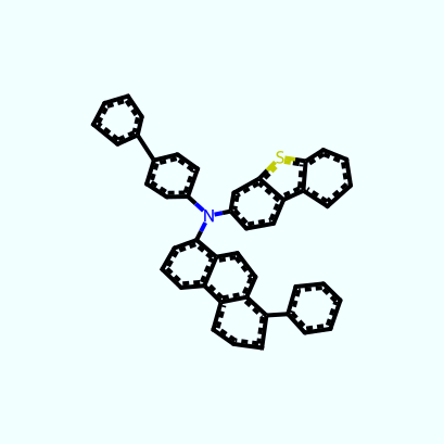 c1ccc(-c2ccc(N(c3ccc4c(c3)sc3ccccc34)c3cccc4c3ccc3c(-c5ccccc5)cccc34)cc2)cc1